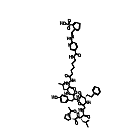 CC(=O)N1CCC[C@H]1C(=O)N[C@@H](CC(C)C)C(=O)NCC(=O)N[C@@H](CCc1ccccc1)C(=O)N[C@@H](Cc1ccc(O)cc1)C(=O)N[C@@H](CC(C)C)C(=O)NNC(=O)CCCCCNC(=O)c1ccc(N/N=C/c2ccccc2S(=O)(=O)O)nc1